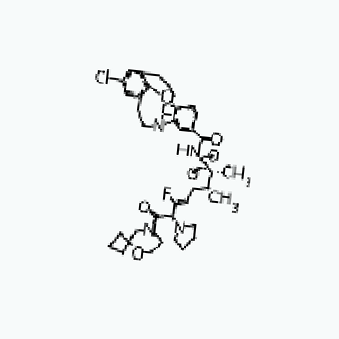 C[C@H]([C@@H](C)C/C=C(\F)[C@H](C(=O)N1CCOC2(CCC2)C1)N1CCCC1)S(=O)(=O)NC(=O)c1ccc2c(c1)N1CCCCc3cc(Cl)cc(c3CO2)CC1